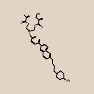 C=C(/C=C\C(=C)c1ccc2cc(CCCCC3CCC(CCC)CC3)ccc2c1)C[C@H](COC(=O)C(=C)C)COC(=O)C(=C)CO